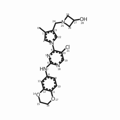 Cc1cn(-c2nc(Nc3ccc4c(c3)OCCO4)ncc2Cl)cc1CN1CC(O)C1